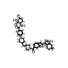 CC1(C)CCc2c(-c3cc4ccc(C(=O)N5CCN(CC6CCN(c7ccc(C(=O)N[C@H]8CCC(=O)NC8=O)nc7)CC6)CC5)cc4[nH]3)n[nH]c2C1